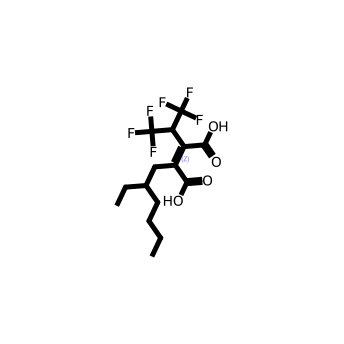 CCCCC(CC)C/C(C(=O)O)=C(/C(=O)O)C(C(F)(F)F)C(F)(F)F